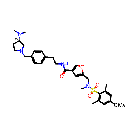 COc1cc(C)c(S(=O)(=O)N(C)Cc2cc(C(=O)NCCc3ccc(CN4CC[C@H](N(C)C)C4)cc3)co2)c(C)c1